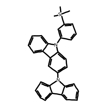 C[Si](C)(C)c1cccc(-n2c3ccccc3c3cc(-n4c5ccccc5c5ccccc54)ccc32)c1